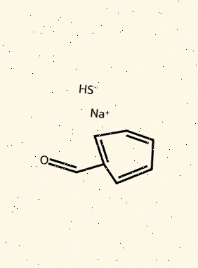 O=Cc1ccccc1.[Na+].[SH-]